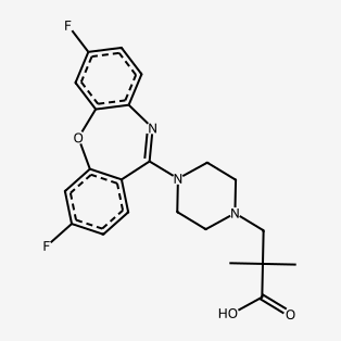 CC(C)(CN1CCN(C2=Nc3ccc(F)cc3Oc3cc(F)ccc32)CC1)C(=O)O